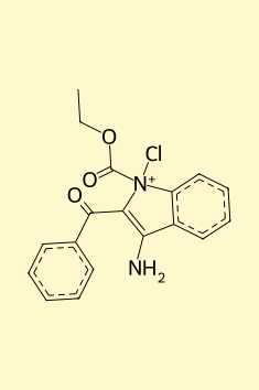 CCOC(=O)[N+]1(Cl)C(C(=O)c2ccccc2)=C(N)c2ccccc21